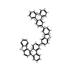 c1ccc2c(c1)oc1ccc3c4ccccc4c4cc(-c5ccc6oc7ccc(-c8ccc9c%10ccccc%10c%10ccccc%10c9c8)cc7c6c5)ccc4c3c12